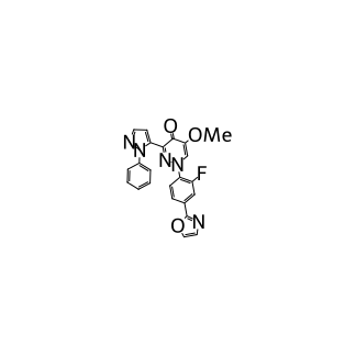 COc1cn(-c2ccc(-c3ncco3)cc2F)nc(-c2ccnn2-c2ccccc2)c1=O